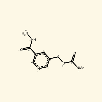 CNC(=O)OCc1cncc(C(=O)NN)c1